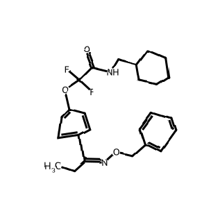 CCC(=NOCc1ccccc1)c1ccc(OC(F)(F)C(=O)NCC2CCCCC2)cc1